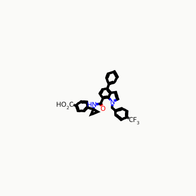 O=C(O)c1ccc(C2(NC(=O)c3ccc(-c4ccccc4)c4ccn(Cc5ccc(C(F)(F)F)cc5)c34)CC2)cc1